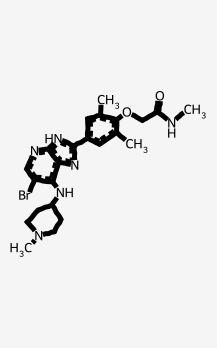 CNC(=O)COc1c(C)cc(-c2nc3c(NC4CCN(C)CC4)c(Br)cnc3[nH]2)cc1C